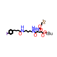 CC(C)(C)OC(=O)CC[C@H](NC(=O)OCCS(C)(C)C)C(=O)NCCCCCNC(=O)CCCc1ccc(I)cc1